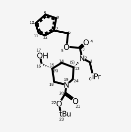 CC(C)CN(C(=O)OCc1ccccc1)[C@H]1C[C@@H](CO)CN(C(=O)OC(C)(C)C)C1